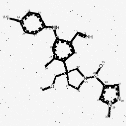 COCC1(c2cc(C=N)c(Nc3ccc(F)cc3)cc2C)CCN([S+]([O-])c2cnn(C)c2)C1